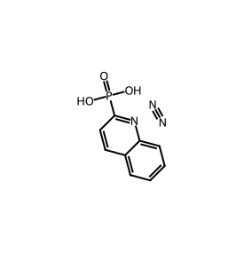 N#N.O=P(O)(O)c1ccc2ccccc2n1